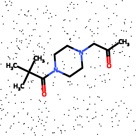 CC(=O)CN1CCN(C(=O)C(C)(C)C)CC1